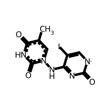 Cc1cn(NC2=NC(=O)[N]C=C2I)c(=O)[nH]c1=O